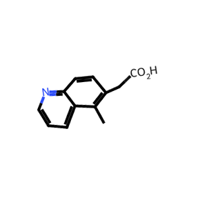 Cc1c(CC(=O)O)ccc2ncccc12